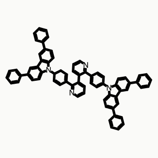 C1=CC(n2c3ccc(-c4ccccc4)cc3c3cc(-c4ccccc4)ccc32)CC=C1c1ncccc1-c1cccnc1-c1ccc(-n2c3ccc(-c4ccccc4)cc3c3cc(-c4ccccc4)ccc32)cc1